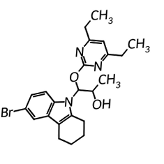 CCc1cc(CC)nc(OC(C(C)O)n2c3c(c4cc(Br)ccc42)CCCC3)n1